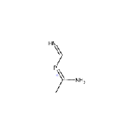 C/C(N)=P/C=N